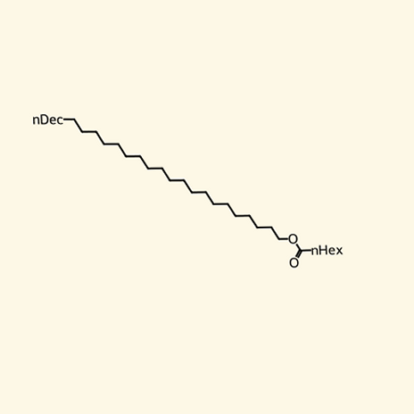 CCCCCCCCCCCCCCCCCCCCCCCCCCCCCCOC(=O)CCCCCC